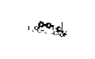 CC(C)c1cccc(-c2ccc(CO[C@H]3CN[C@@H](C(=O)O)[C@@H]3O)cc2)c1